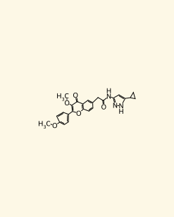 COc1ccc(-c2oc3ccc(CC(=O)Nc4cc(C5CC5)[nH]n4)cc3c(=O)c2OC)cc1